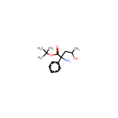 [CH2]C(O)CC(N)(C(=O)OC(C)(C)C)c1ccccc1